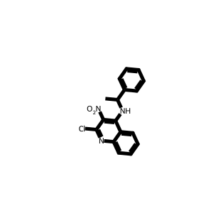 CC(Nc1c([N+](=O)[O-])c(Cl)nc2ccccc12)c1ccccc1